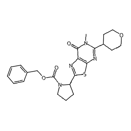 Cn1c(C2CCOCC2)nc2sc(C3CCCN3C(=O)OCc3ccccc3)nc2c1=O